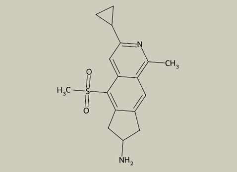 Cc1nc(C2CC2)cc2c(S(C)(=O)=O)c3c(cc12)CC(N)C3